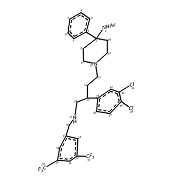 CC(=O)NC1(c2ccccc2)CCN(CCC(CNCc2cc(C(F)(F)F)cc(C(F)(F)F)c2)c2ccc(Cl)c(Cl)c2)CC1